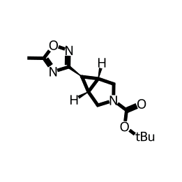 Cc1nc([C@H]2[C@@H]3CN(C(=O)OC(C)(C)C)C[C@@H]32)no1